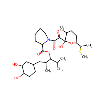 CSC(C)C1CCC(C)C(O)(C(=O)C(=O)N2CCCCC2C(=O)OC(C(C)C)C(C)CC2CCC(O)C(O)C2)O1